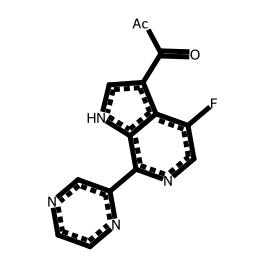 CC(=O)C(=O)c1c[nH]c2c(-c3cnccn3)ncc(F)c12